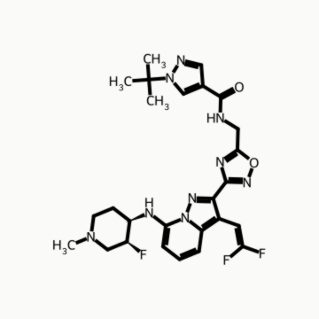 CN1CC[C@@H](Nc2cccc3c(C=C(F)F)c(-c4noc(CNC(=O)c5cnn(C(C)(C)C)c5)n4)nn23)[C@@H](F)C1